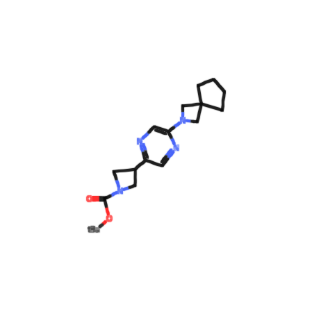 CC(C)(C)OC(=O)N1CC(c2cnc(N3CC4(CCCC4)C3)cn2)C1